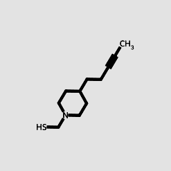 CC#CCCC1CCN(CS)CC1